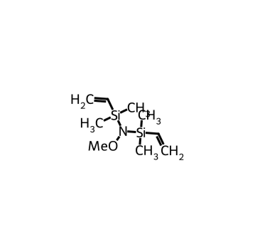 C=C[Si](C)(C)N(OC)[Si](C)(C)C=C